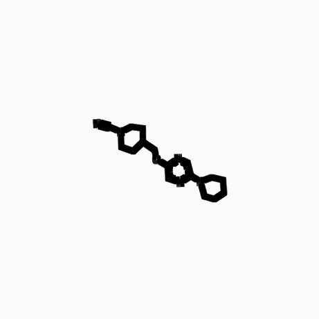 N#CN1CCC(COc2cnc(N3CCCCC3)cn2)CC1